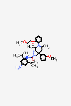 COCCOc1ccccc1N1C(C)CC(CNC(=O)Nc2c(C(C)C)cc(N)cc2C(C)C)(c2cccc(OC)c2)CC1C